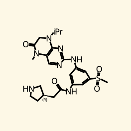 CC(C)N1CC(=O)N(C)c2cnc(Nc3cc(NC(=O)C[C@H]4CCNC4)cc(S(C)(=O)=O)c3)nc21